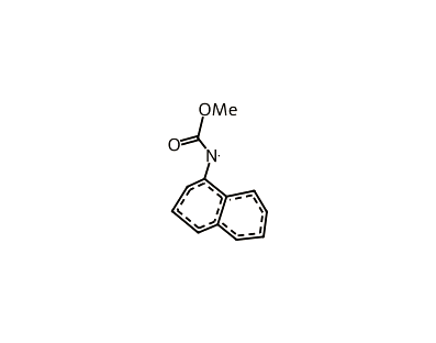 COC(=O)[N]c1cccc2ccccc12